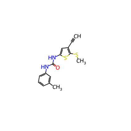 C#Cc1cc(NC(=O)Nc2cccc(C)c2)sc1SC